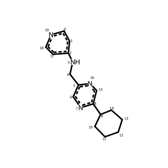 c1cc(NCc2cnc(C3CCCCC3)cn2)ccn1